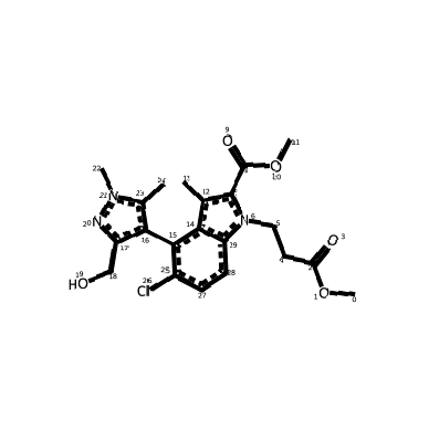 COC(=O)CCn1c(C(=O)OC)c(C)c2c(-c3c(CO)nn(C)c3C)c(Cl)ccc21